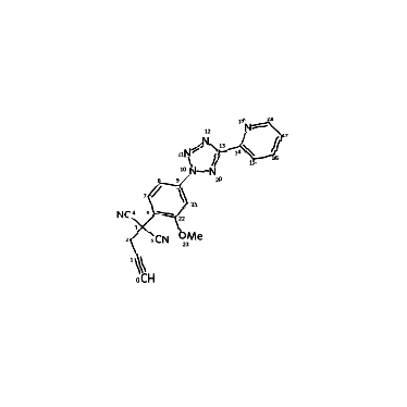 C#CCC(C#N)(C#N)c1ccc(-n2nnc(-c3ccccn3)n2)cc1OC